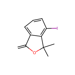 C=C1OC(C)(C)c2c(I)cccc21